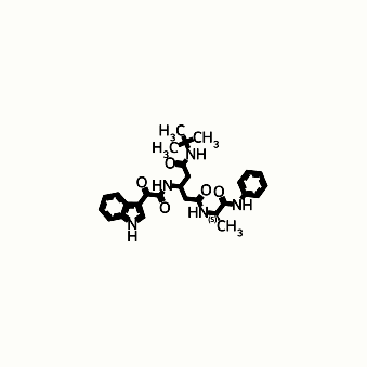 C[C@H](NC(=O)CC(CC(=O)NC(C)(C)C)NC(=O)C(=O)c1c[nH]c2ccccc12)C(=O)Nc1ccccc1